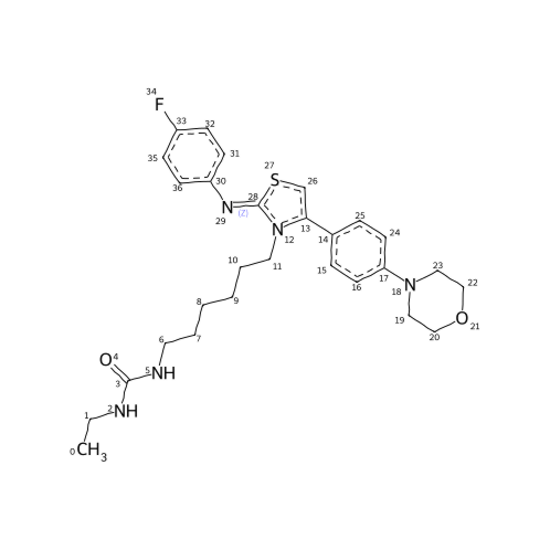 CCNC(=O)NCCCCCCn1c(-c2ccc(N3CCOCC3)cc2)cs/c1=N\c1ccc(F)cc1